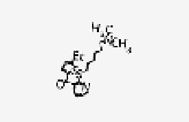 CCc1ccc(C(=O)c2cccnc2SCCCCCCN(C)C)s1